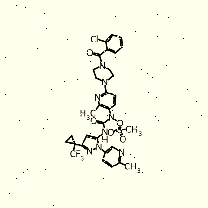 Cc1ccc(-n2nc(C3(C(F)(F)F)CC3)cc2NC(=O)N(OS(C)(=O)=O)c2ccc(N3CCN(C(=O)c4ccccc4Cl)CC3)nc2C)cn1